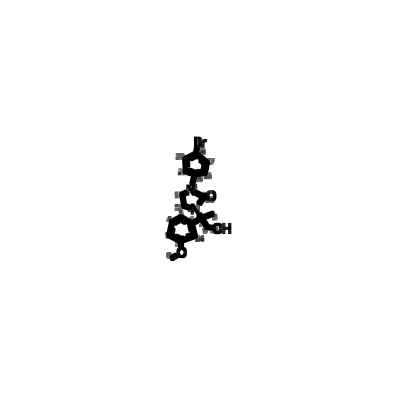 COc1cccc(C(C)(CO)N2CCN(c3ccc(Br)cc3)C2=O)c1